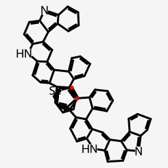 c1ccc(-c2ccc3[nH]c4ccc5nc6ccccc6c5c4cc3c2-c2ccccc2-c2cc[se]c2-c2ccccc2-c2c(-c3ccccc3)ccc3[nH]c4ccc5nc6ccccc6c5c4cc23)cc1